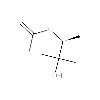 C=C(C)O[C@@H](C)C(C)(C)O